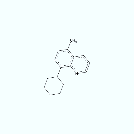 Cc1ccc(C2CCCCC2)c2ncccc12